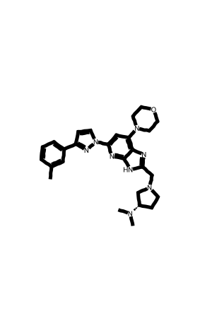 Cc1cccc(-c2ccn(-c3cc(N4CCOCC4)c4nc(CN5CC[C@H](N(C)C)C5)[nH]c4n3)n2)c1